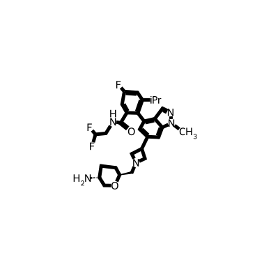 CC(C)c1cc(F)cc(C(=O)NCC(F)F)c1-c1cc(C2CN(C[C@@H]3CC[C@@H](N)CO3)C2)cc2c1cnn2C